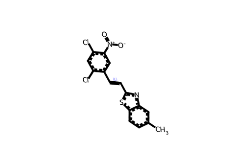 Cc1ccc2sc(/C=C/c3cc([N+](=O)[O-])c(Cl)cc3Cl)nc2c1